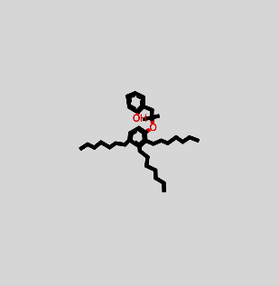 CCCCCCCc1ccc(OC(C)(C)Cc2ccccc2O)c(CCCCCCC)c1CCCCCCC